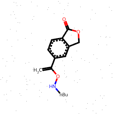 C=C(ONCCCC)c1ccc2c(c1)COC2=O